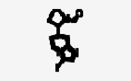 O=CN1CCCC1c1ccn2c(I)cnc2c1